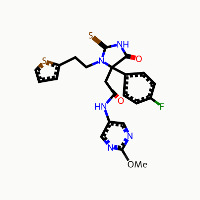 COc1ncc(NC(=O)CC2(c3ccc(F)cc3)C(=O)NC(=S)N2CCc2cccs2)cn1